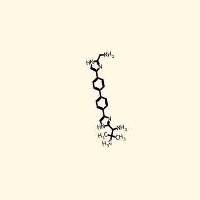 CC(C)(C)C(N)c1nc(-c2ccc(-c3ccc(-c4c[nH]c(CN)n4)cc3)cc2)c[nH]1